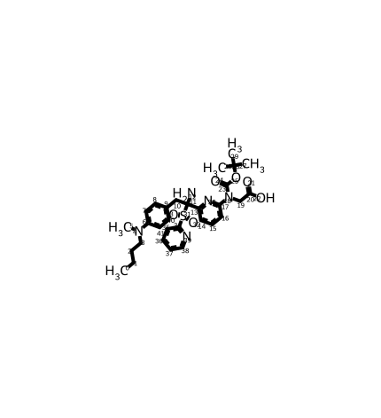 CCCCN(C)c1ccc(CC(N)(c2cccc(N(CC(=O)O)C(=O)OC(C)(C)C)n2)S(=O)(=O)c2ccccn2)cc1